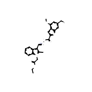 CCOC(=O)Cn1c(C)c(/C=N/NC(=O)c2cc3c(OC)cc(CO)cc3o2)c2ccccc21